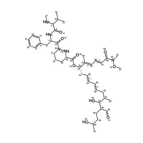 CNC(C(=O)NC(Cc1ccccc1)C(=O)N1CCCC(C(=O)O[C@@H](C/C=C/C=C/CC(C)C(O)C(C=O)CCC(C)O)/C(C)=C/C=C/C(=O)N(C)OC)N1)C(C)C